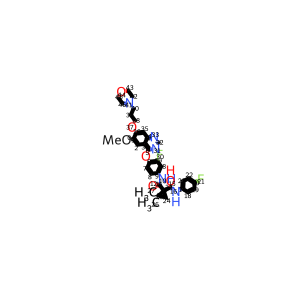 COc1cc2c(Oc3ccc(NC(=O)C4(C(O)Nc5ccc(F)cc5)CC4(C)C)cc3F)ncnc2cc1OCCCN1CCOCC1